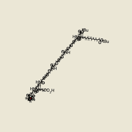 CC(C)(C)OC(=O)CCCCCCCCCCCCNC(=O)[C@H](CCC(=O)OC(C)(C)C)NC(=O)CCOCCOCCOCCNC(=O)CCOCCOCCOCCC(=O)NCCOCCOCCOCCC(=O)NCCCC[C@H](NC(=O)CCCN1C(=O)C2[C@@H](C1=O)[C@@H]1C=C[C@H]2O1)C(=O)NCCCC(=O)O